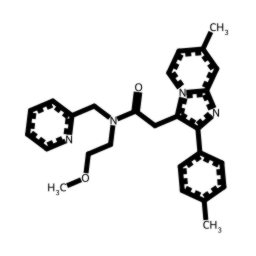 COCCN(Cc1ccccn1)C(=O)Cc1c(-c2ccc(C)cc2)nc2cc(C)ccn12